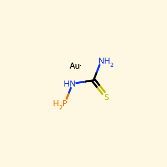 NC(=S)NP.[Au]